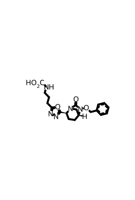 O=C(O)NCCCc1nnc([C@@H]2CC[C@@H]3CN2C(=O)N3OCc2ccccc2)o1